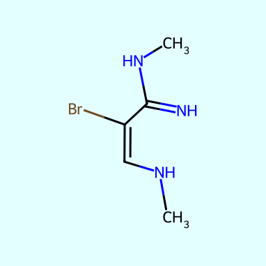 CN/C=C(/Br)C(=N)NC